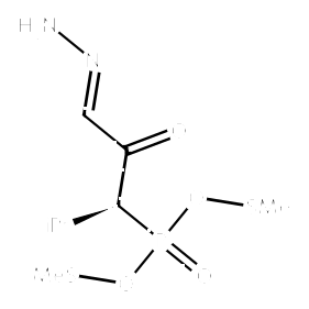 CSOP(=O)(OSC)[C@@H]([C](C)C)C(=O)C=NN